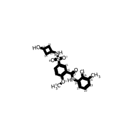 COc1ccc(S(=O)(=O)NC2CC(O)C2)cc1C(=O)Nc1cccc(C)c1Cl